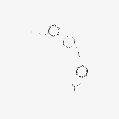 COc1cccc(N2CCN(CCOc3ccc(CC(=O)O)cc3)CC2)c1